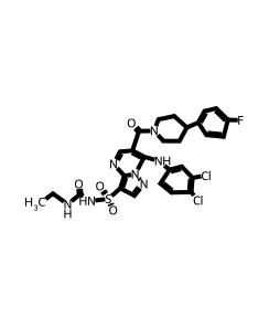 CCNC(=O)NS(=O)(=O)c1cnn2c(Nc3ccc(Cl)c(Cl)c3)c(C(=O)N3CCC(c4ccc(F)cc4)CC3)cnc12